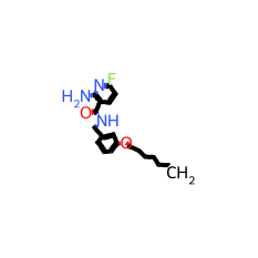 C=CCCCCCOc1cccc(CNC(=O)c2ccc(F)nc2N)c1